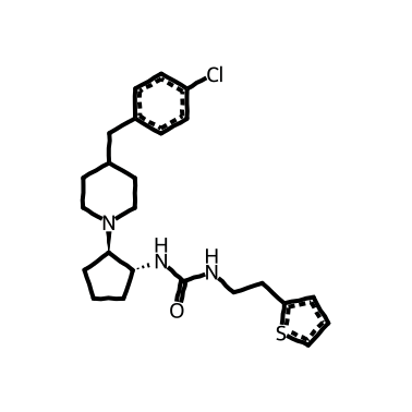 O=C(NCCc1cccs1)N[C@@H]1CCC[C@H]1N1CCC(Cc2ccc(Cl)cc2)CC1